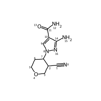 N#CC1COCCC1n1cc(C(N)=O)c(N)n1